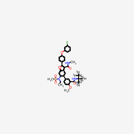 [2H]C([2H])([2H])C(NC(=O)c1cc(-c2cc3c(C(=O)NC)c(-c4ccc(Oc5cccc(F)c5)cc4)oc3cc2N(CC)S(C)(=O)=O)ccc1OC)(C([2H])([2H])[2H])C([2H])([2H])[2H]